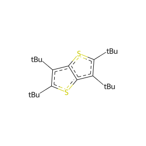 CC(C)(C)c1sc2c(C(C)(C)C)c(C(C)(C)C)sc2c1C(C)(C)C